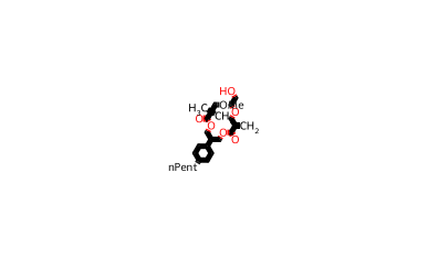 C=C(COCCO)C(=O)OCC(COC(=O)C(C)(C)COC)C1CCC(CCCCC)CC1